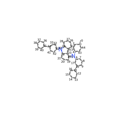 Cc1ccc(N(c2cccc(-c3ccccc3)c2)c2cccc3c2c2ccccc2n3-c2ccc(-c3ccccc3)cc2)cc1